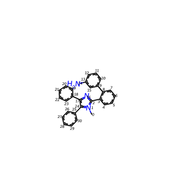 Cn1c(-c2ccccc2-c2cccc(N)c2)nc(-c2ccccc2)c1-c1ccccc1